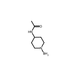 BN1CCC(NC(C)=O)CC1